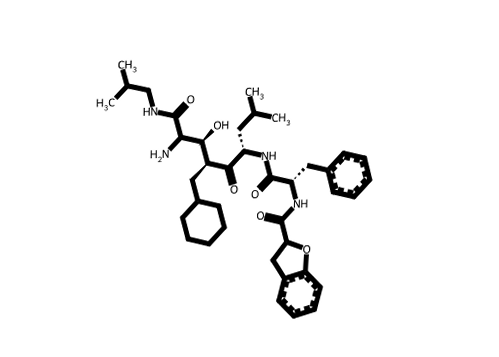 CC(C)CNC(=O)C(N)[C@@H](O)[C@H](CC1CCCCC1)C(=O)[C@H](CC(C)C)NC(=O)[C@H](Cc1ccccc1)NC(=O)C1Cc2ccccc2O1